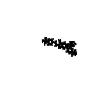 NS(=O)(=O)c1cc(C(F)(F)F)ccc1-c1ccc2[nH]c(C=Cc3ccc(C(F)(F)F)cc3)nc2c1